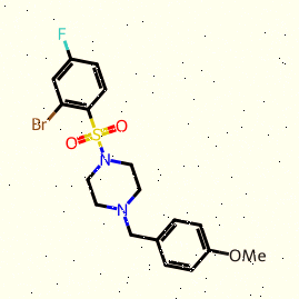 COc1ccc(CN2CCN(S(=O)(=O)c3ccc(F)cc3Br)CC2)cc1